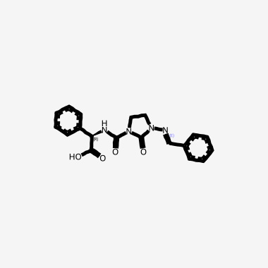 O=C(O)[C@H](NC(=O)N1CCN(/N=C/c2ccccc2)C1=O)c1ccccc1